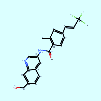 Cc1cc(C=CC(F)(F)F)ccc1C(=O)Nc1cnc2cc(CO)ccc2c1